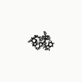 C=C1[C@@H](C[Si](C)(C)c2ccccc2)[C@H](O[Si](C)(C)C(C)(C)C)C[C@H]1n1cnc2c(I)nc(N)nc21